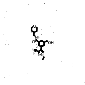 CCn1cc(-c2cc(CO)cc(C(=O)NCC3CCOCC3)c2)c(C(F)(F)F)n1